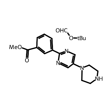 CC(C)(C)OC=O.COC(=O)c1cccc(-c2ncc(N3CCNCC3)cn2)c1